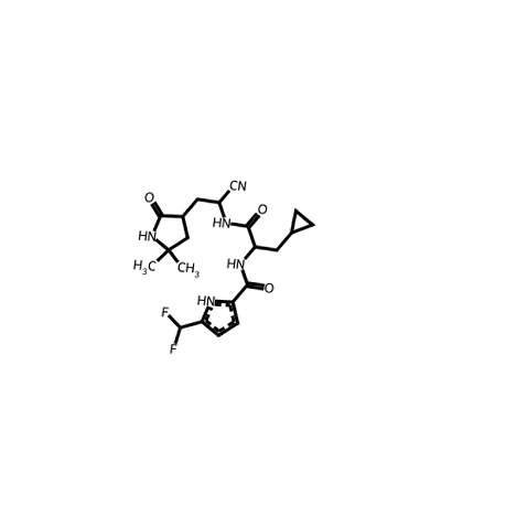 CC1(C)CC(CC(C#N)NC(=O)C(CC2CC2)NC(=O)c2ccc(C(F)F)[nH]2)C(=O)N1